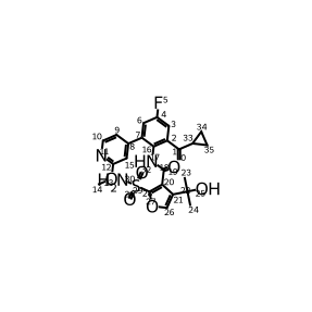 C=C(c1cc(F)cc(-c2ccnc(OC)c2)c1NC(=O)c1c(C(C)(C)O)coc1S(N)(=O)=O)C1CC1